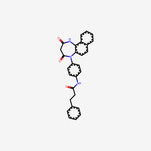 O=C(CCc1ccccc1)Nc1ccc(N2C(=O)CC(=O)Nc3c2ccc2ccccc32)cc1